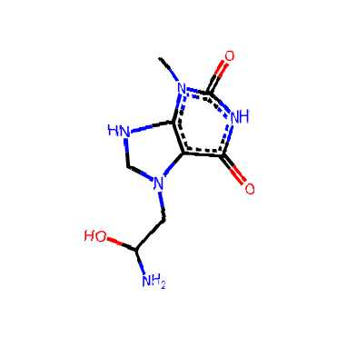 Cn1c2c(c(=O)[nH]c1=O)N(CC(N)O)CN2